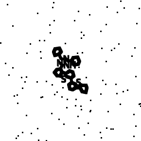 c1ccc(C2=NC(c3cccc4sc5c(-c6cccc7c6sc6ccccc67)cccc5c34)NC(c3ccccc3)=N2)cc1